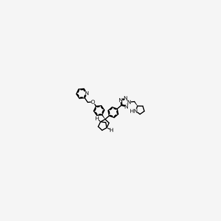 c1ccc(COc2ccc([C@@]3(c4ccc(-c5nnn(C[C@H]6CCCN6)n5)cc4)C[C@@H]4CC[C@H]3C4)cc2)nc1